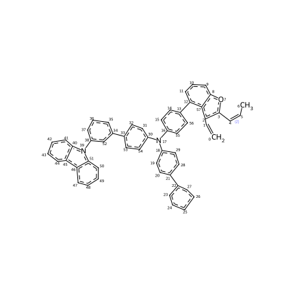 C=Cc1c(/C=C\C)oc2cccc(-c3ccc(N(c4ccc(-c5ccccc5)cc4)c4ccc(-c5cccc(-n6c7ccccc7c7ccccc76)c5)cc4)cc3)c12